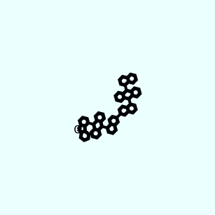 c1ccc2c(-c3c4ccccc4c(-c4cccc5cc(-c6ccc7c(-c8c9ccccc9c(-c9cccc%10oc%11ccccc%11c9%10)c9ccccc89)cccc7c6)ccc45)c4ccccc34)cccc2c1